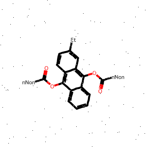 CCCCCCCCCC(=O)Oc1c2ccccc2c(OC(=O)CCCCCCCCC)c2cc(CC)ccc12